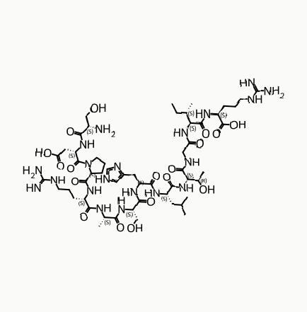 CC[C@H](C)[C@H](NC(=O)CNC(=O)[C@@H](NC(=O)[C@H](CC(C)C)NC(=O)[C@H](Cc1c[nH]cn1)NC(=O)[C@H](CO)NC(=O)[C@H](C)NC(=O)[C@H](CCCNC(=N)N)NC(=O)[C@@H]1CCCN1C(=O)[C@H](CC(=O)O)NC(=O)[C@@H](N)CO)[C@@H](C)O)C(=O)N[C@@H](CCCNC(=N)N)C(=O)O